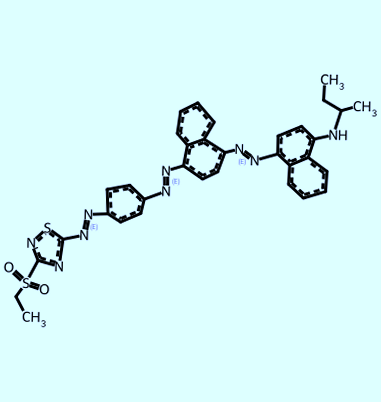 CCC(C)Nc1ccc(/N=N/c2ccc(/N=N/c3ccc(/N=N/c4nc(S(=O)(=O)CC)ns4)cc3)c3ccccc23)c2ccccc12